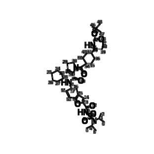 CC(C)N(C(C)C)S(=O)(=O)NC(=O)c1cc2cc(NC(=O)[C@@H]3[C@H](C4CCCCC4)CCN3C(=O)C3CCC([C@@H](CF)NC(=O)OC(C)(C)C)CC3)ccc2o1